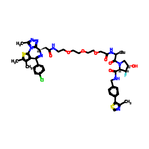 Cc1ncsc1-c1ccc(CNC(=O)[C@@H]2[C@H](F)[C@@H](O)CN2C(=O)C(NC(=O)COCCOCCOCCNC(=O)C[C@@H]2N=C(c3ccc(Cl)cc3)c3c(sc(C)c3C)-n3c(C)nnc32)C(C)(C)C)cc1